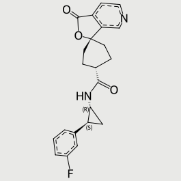 O=C1O[C@]2(CC[C@@H](C(=O)N[C@@H]3C[C@H]3c3cccc(F)c3)CC2)c2cnccc21